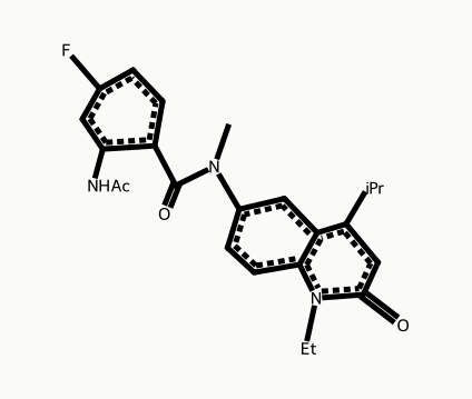 CCn1c(=O)cc(C(C)C)c2cc(N(C)C(=O)c3ccc(F)cc3NC(C)=O)ccc21